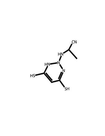 CC(C#N)NN1N=C(S)C=C(S)N1